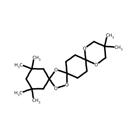 CC1(C)COC2(CCC3(CC2)OOC2(CC(C)(C)CC(C)(C)C2)O3)OC1